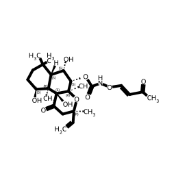 C=C[C@@]1(C)CC(=O)[C@]2(O)[C@@]3(C)[C@@H](O)CCC(C)(C)[C@@H]3[C@H](O)[C@H](OC(=O)NOC=CC(C)=O)[C@@]2(C)O1